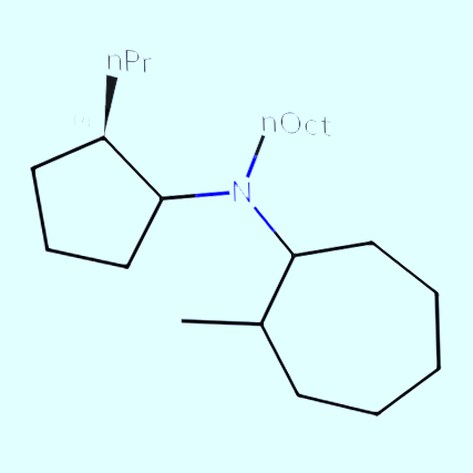 CCCCCCCCN(C1CCCCCC1C)C1CCC[C@H]1CCC